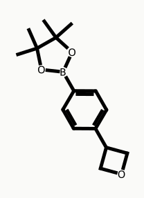 CC1(C)OB(c2ccc(C3COC3)cc2)OC1(C)C